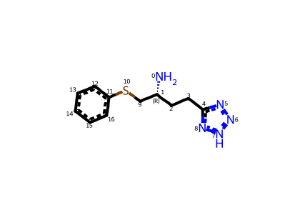 N[C@H](CCc1nn[nH]n1)CSc1ccccc1